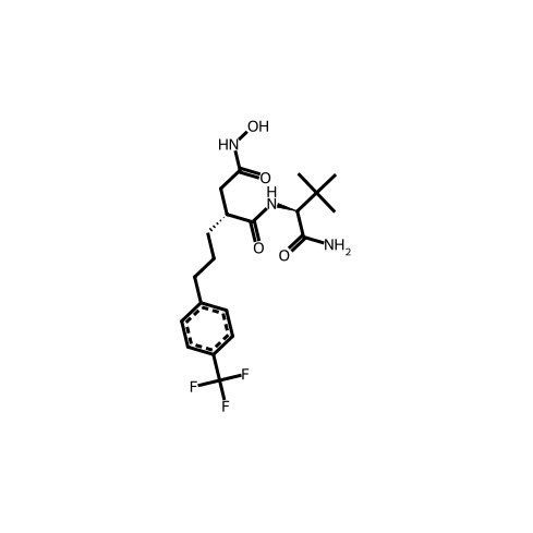 CC(C)(C)[C@H](NC(=O)[C@H](CCCc1ccc(C(F)(F)F)cc1)CC(=O)NO)C(N)=O